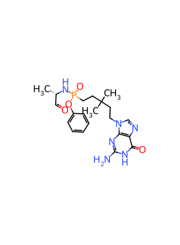 C[C@@H](C=O)NP(=O)(CCC(C)(C)CCn1cnc2c(=O)[nH]c(N)nc21)Oc1ccccc1